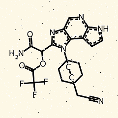 N#CCC12CCC(n3c(C(OC(=O)C(F)(F)F)C(N)=O)nc4cnc5[nH]ccc5c43)(CC1)CC2